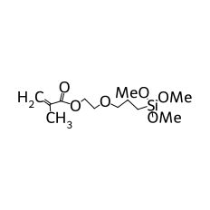 C=C(C)C(=O)OCCOCCC[Si](OC)(OC)OC